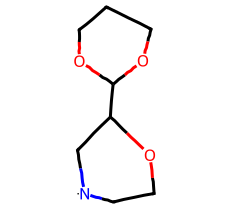 C1COC(C2C[N]CCO2)OC1